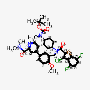 COc1ccc(-c2ccnc(C(=O)N(C)C)c2)cc1CN(C(=O)c1sc2c(F)ccc(F)c2c1Cl)[C@H]1CC[C@H](N(C)C(=O)OC(C)(C)C)CC1